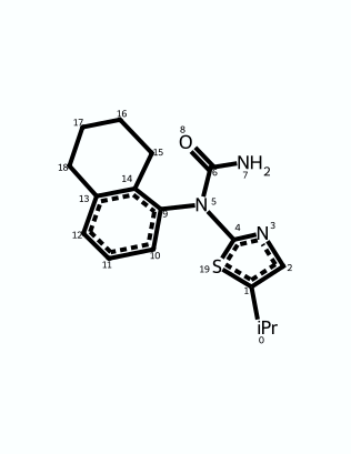 CC(C)c1cnc(N(C(N)=O)c2cccc3c2CCCC3)s1